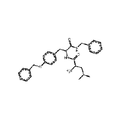 CC(C)CC(N)C(=O)NC(Cc1ccc(OCc2ccccc2)cc1)C(=O)NCc1ccccc1